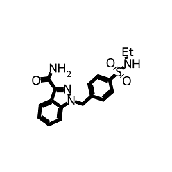 CCNS(=O)(=O)c1ccc(Cn2nc(C(N)=O)c3ccccc32)cc1